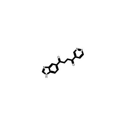 O=C(CCC(=O)c1ccc2[nH]cnc2c1)c1ccnnc1